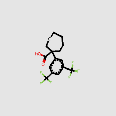 O=C(O)C1(c2cc(C(F)(F)F)cc(C(F)(F)F)c2)CCCCCC1